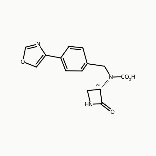 O=C1NC[C@@H]1N(Cc1ccc(-c2cocn2)cc1)C(=O)O